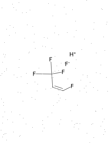 F/C=C\C(F)(F)F.[F-].[H+]